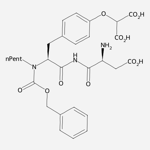 CCCCCN(C(=O)OCc1ccccc1)[C@@H](Cc1ccc(OC(C(=O)O)C(=O)O)cc1)C(=O)NC(=O)[C@@H](N)CC(=O)O